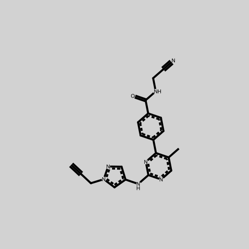 C#CCn1cc(Nc2ncc(C)c(-c3ccc(C(=O)NCC#N)cc3)n2)cn1